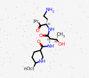 CCCCCCCCC1CCC(C(=O)N[C@H](C(=O)N[C@@H](CCN)C(=O)C(C)C)[C@H](C)O)CN1